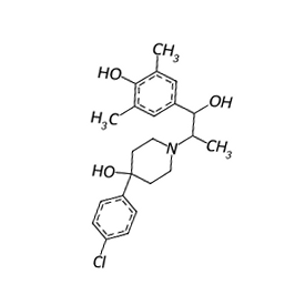 Cc1cc(C(O)C(C)N2CCC(O)(c3ccc(Cl)cc3)CC2)cc(C)c1O